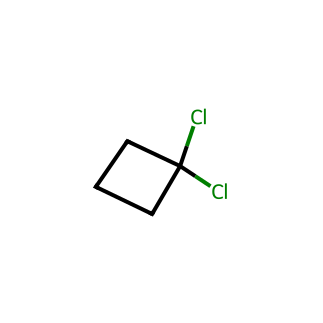 ClC1(Cl)CCC1